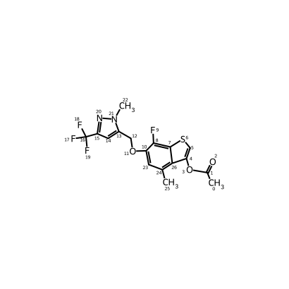 CC(=O)Oc1csc2c(F)c(OCc3cc(C(F)(F)F)nn3C)cc(C)c12